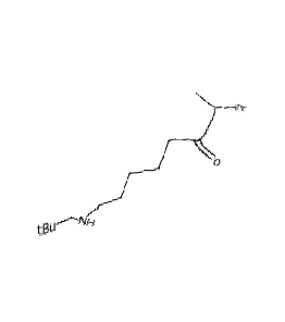 CC(C)C(C)C(=O)CCCCCNC(C)(C)C